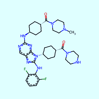 CN1CCN(C(=O)[C@H]2CC[C@H](Nc3ncc4nc(Nc5c(F)cccc5F)n([C@H]5CC[C@@H](C(=O)N6CCNCC6)CC5)c4n3)CC2)CC1